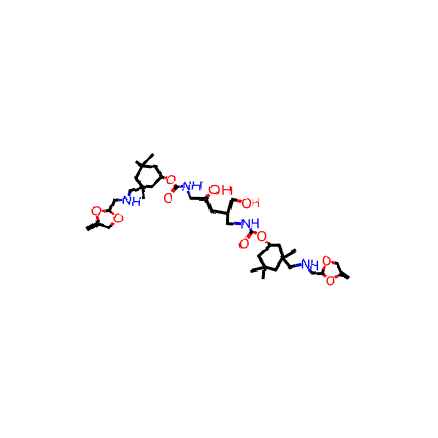 C=C1COC(CNCC2(C)CC(OC(=O)NCC(O)CC(CO)CNC(=O)OC3CC(C)(C)CC(C)(CNCC4OCC(=C)O4)C3)CC(C)(C)C2)O1